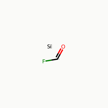 O=[C]F.[Si]